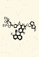 C#Cc1c(F)ccc2cccc(-c3ncc4c(N(C)[C@@H]5CCN(C(=O)CP(=O)(OCC)OCC)C5)nc(OC[C@@]56CCCN5C[C@H](F)C6)nc4c3F)c12